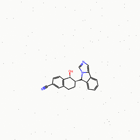 N#Cc1ccc2c(c1)CC[C@H](C1c3ccccc3-c3cncn31)[C@@H]2O